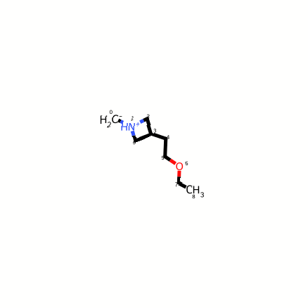 [CH2-][NH+]1CC(CCOCC)C1